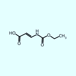 CCOC(=O)NC=CC(=O)O